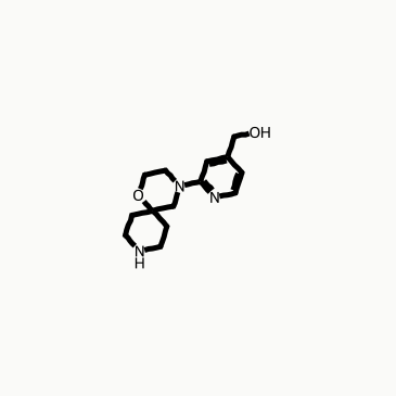 OCc1ccnc(N2CCOC3(CCNCC3)C2)c1